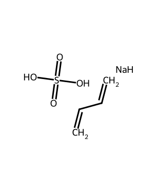 C=CC=C.O=S(=O)(O)O.[NaH]